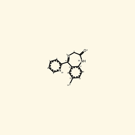 O=C1CN=C(c2ccccn2)c2cc(I)ccc2N1